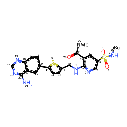 CCC(C)NS(=O)(=O)c1cnc(NCc2ccc(-c3ccc4ncnc(N)c4c3)s2)c(C(=O)NC)c1